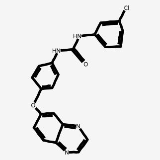 O=C(Nc1ccc(Oc2ccc3nccnc3c2)cc1)Nc1cccc(Cl)c1